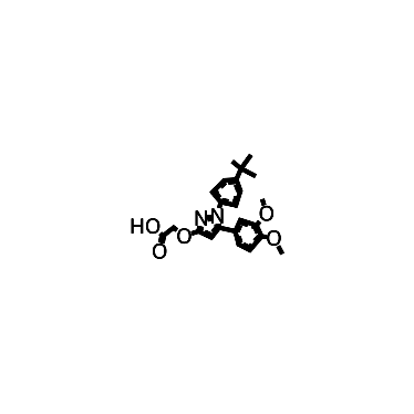 COc1ccc(-c2cc(OCC(=O)O)nn2-c2ccc(C(C)(C)C)cc2)cc1OC